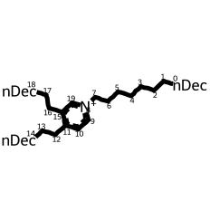 CCCCCCCCCCCCCCCCC[n+]1ccc(CCCCCCCCCCCC)c(CCCCCCCCCCCC)c1